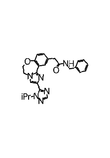 CC(C)n1ncnc1-c1cn2c(n1)-c1cc(CC(=O)NCc3ccccc3)ccc1OCC2